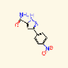 NC(=O)c1cc(-c2ccc([N+](=O)[O-])cc2)n[nH]1